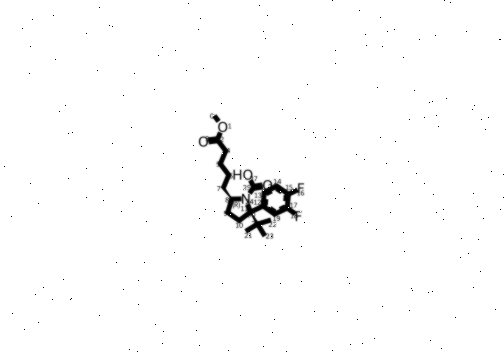 COC(=O)CCCC[C@@H]1CC[C@](c2ccc(F)c(F)c2)(C(C)(C)C)N1C(=O)O